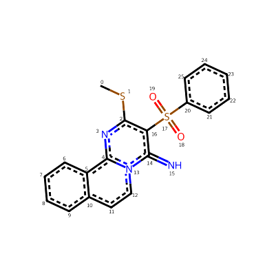 CSc1nc2c3ccccc3ccn2c(=N)c1S(=O)(=O)c1ccccc1